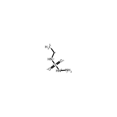 CCNS(=O)(=O)NN